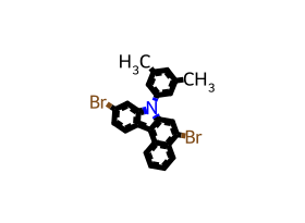 Cc1cc(C)cc(-n2c3cc(Br)ccc3c3c4ccccc4c(Br)cc32)c1